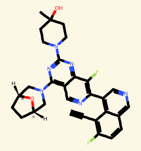 C#Cc1c(F)ccc2cncc(-c3ncc4c(N5C[C@H]6CC[C@@H](C5)O6)nc(N5CCC(C)(O)CC5)nc4c3F)c12